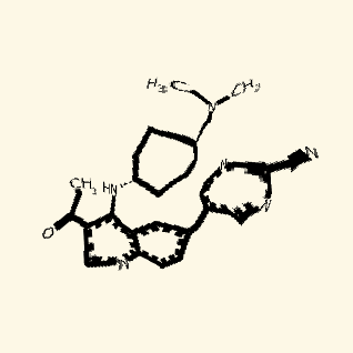 CC(=O)c1cnc2ccc(-c3cnc(C#N)nc3)cc2c1N[C@H]1CC[C@H](CN(C)C)CC1